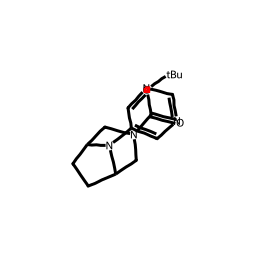 CC(C)(C)OC(=O)N1CC2CCC(C1)N2c1cncnc1